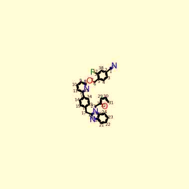 N#Cc1ccc(COc2cccc(-c3ccc(Cc4nc5ccccc5n4Cc4ccco4)cc3)n2)c(F)c1